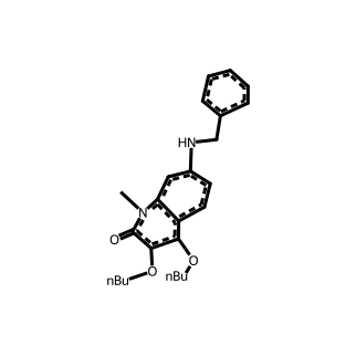 CCCCOc1c(OCCCC)c2ccc(NCc3ccccc3)cc2n(C)c1=O